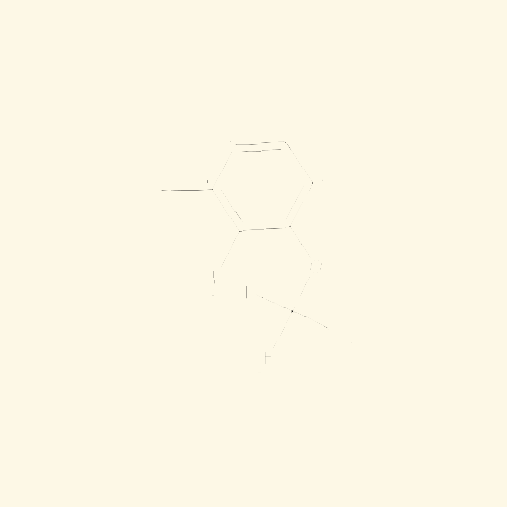 [CH2]c1cccc(OC(F)(F)F)c1F